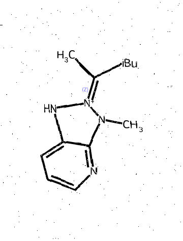 CCC(C)/C(C)=[N+]1/Nc2cccnc2N1C